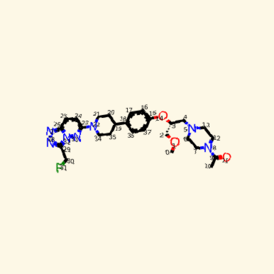 COC[C@@H](CN1CCN(C(C)=O)CC1)Oc1ccc(C2CCN(c3ccc4nnc(CF)n4n3)CC2)cc1